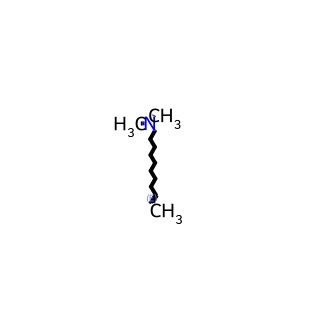 C/C=C/CCCCCCCCN(C)C